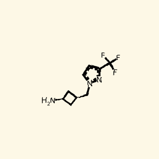 N[C@H]1C[C@@H](Cn2ccc(C(F)(F)F)n2)C1